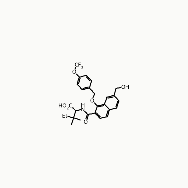 CCC(C)(C)[C@H](NC(=O)c1ccc2ccc(CO)cc2c1OCc1ccc(OC(F)(F)F)cc1)C(=O)O